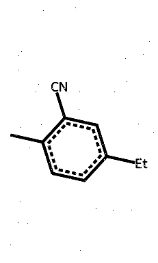 CCc1ccc(C)c(C#N)c1